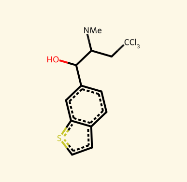 CNC(CC(Cl)(Cl)Cl)C(O)c1ccc2ccsc2c1